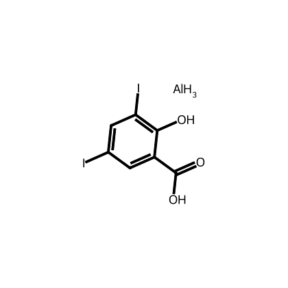 O=C(O)c1cc(I)cc(I)c1O.[AlH3]